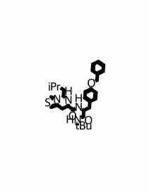 CC(C)CCNC(Cc1cscn1)C(=O)NC(Cc1ccc(OCc2ccccc2)cc1)C(=O)NC(C)(C)C